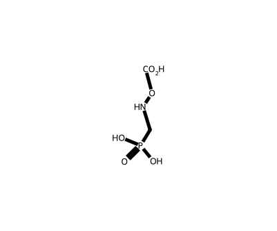 O=C(O)ONCP(=O)(O)O